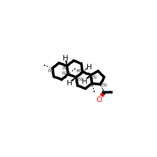 CC(=O)[C@H]1CC[C@H]2[C@@H]3CC[C@H]4C[C@@H](C)CC[C@]4(C)[C@H]3CC[C@]12C